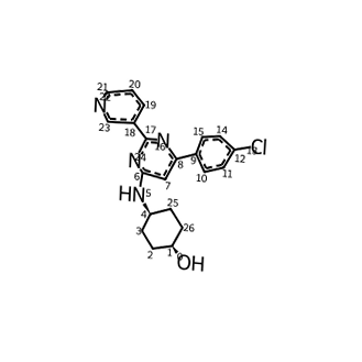 O[C@H]1CC[C@@H](Nc2cc(-c3ccc(Cl)cc3)nc(-c3cccnc3)n2)CC1